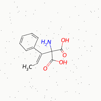 CC=C(c1ccccc1)C(N)(C(=O)O)C(=O)O